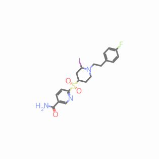 NC(=O)c1ccc(S(=O)(=O)C2CCN(CCc3ccc(F)cc3)C(I)C2)nc1